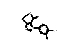 Cc1cc(-n2cnc3c2C(=O)OCC3)ccc1O